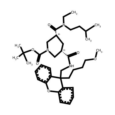 CCN(CCC(C)C)C(=O)[C@@H]1C[C@H](C(=O)NCC2(CCCCOC)c3ccccc3Oc3ccccc32)CN(C(=O)OC(C)(C)C)C1